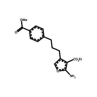 CCOC(=O)c1c(CCCc2ccc(C(=O)OC)cc2)coc1N